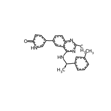 Cc1cccc([C@@H](C)Nc2nc(C)nc3ccc(-c4ccc(=O)[nH]c4)cc23)c1